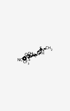 C=CCNC(=S)N1CCN(CCCCCN2C(=S)N(c3ccc(C#N)c(C(F)(F)F)c3)C(=O)C2(C)C)CC1